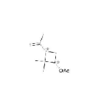 C=C(C)[C@@H]1C[C@H](OC(C)=O)C1(C)C